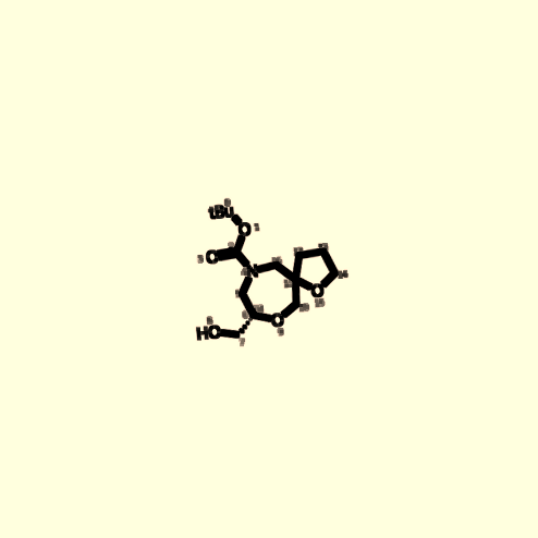 CC(C)(C)OC(=O)N1C[C@@H](CO)OCC2(CCCO2)C1